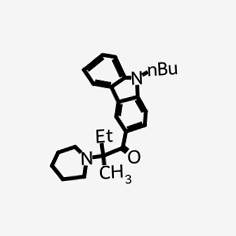 CCCCn1c2ccccc2c2cc(C(=O)C(C)(CC)N3CCCCC3)ccc21